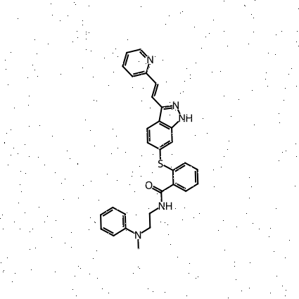 CN(CCNC(=O)c1ccccc1Sc1ccc2c(/C=C/c3ccccn3)n[nH]c2c1)c1ccccc1